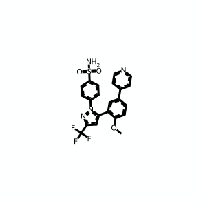 COc1ccc(-c2ccncc2)cc1-c1cc(C(F)(F)F)nn1-c1ccc(S(N)(=O)=O)cc1